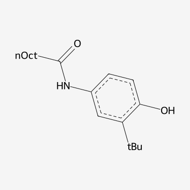 CCCCCCCCC(=O)Nc1ccc(O)c(C(C)(C)C)c1